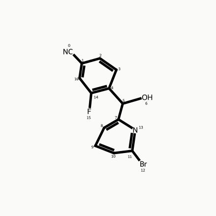 N#Cc1ccc(C(O)c2cccc(Br)n2)c(F)c1